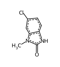 Cn1c(=O)[nH]c2ccc(Cl)cc21